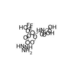 N=C(N)Nc1ccc2c(c1)OCCOc1c(CCC(=O)NC(CC(=O)O)C(=O)O)cccc1OC2=O.O=C(O)C(F)(F)F